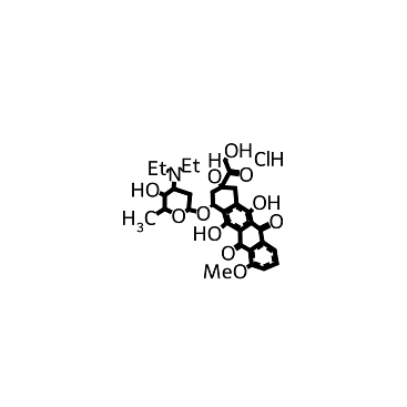 CCN(CC)C1CC(O[C@H]2C[C@](O)(C(=O)CO)Cc3c(O)c4c(c(O)c32)C(=O)c2c(OC)cccc2C4=O)OC(C)C1O.Cl